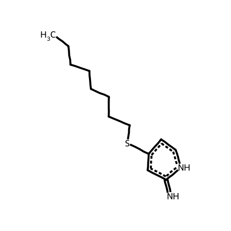 CCCCCCCCSc1cc[nH]c(=N)c1